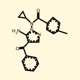 Cc1ccc(C(=O)N(C2CC2)n2ncc(C(=O)c3ccccc3)c2N)cc1